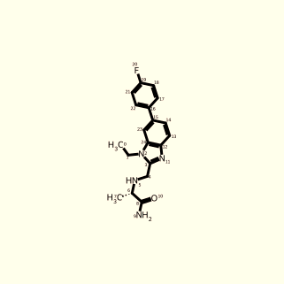 CCn1c(CN[C@@H](C)C(N)=O)nc2ccc(-c3ccc(F)cc3)cc21